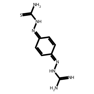 N=C(N)NN=C1C=CC(=NNC(N)=S)C=C1